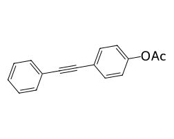 CC(=O)Oc1ccc(C#Cc2ccccc2)cc1